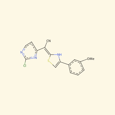 COc1cccc(C2=CS/C(=C(/C#N)c3ccnc(Cl)n3)N2)c1